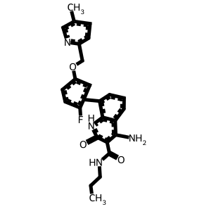 CCCNC(=O)c1c(N)c2cccc(-c3cc(OCc4ccc(C)cn4)ccc3F)c2[nH]c1=O